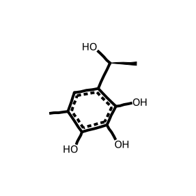 Cc1cc([C@H](C)O)c(O)c(O)c1O